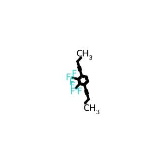 CCCC#Cc1ccc(C#CCCC)c(C(F)(F)F)c1C(F)(F)F